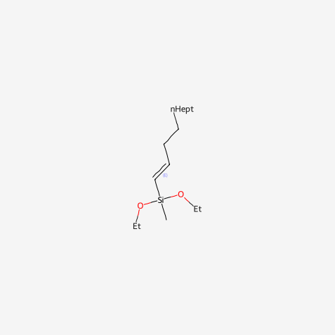 CCCCCCCCC/C=C/[Si](C)(OCC)OCC